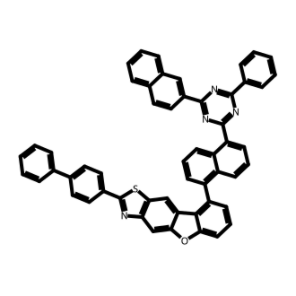 c1ccc(-c2ccc(-c3nc4cc5oc6cccc(-c7cccc8c(-c9nc(-c%10ccccc%10)nc(-c%10ccc%11ccccc%11c%10)n9)cccc78)c6c5cc4s3)cc2)cc1